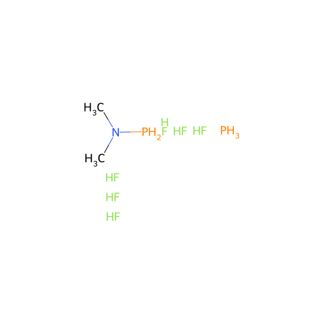 CN(C)P.F.F.F.F.F.F.P